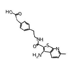 Cc1ccc2c(N)c(C(=O)NCCc3ccc(CC(=O)O)cc3)sc2n1